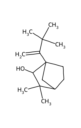 C=C(C(C)(C)C)C12CCC(C1)C(C)(C)C2O